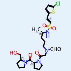 C[C@H](CCCN(C=O)CC(=O)N1CCC[C@H]1C(=O)N1CCC[C@H]1CO)NS(=O)(=O)/C=C/c1ccc(Cl)s1